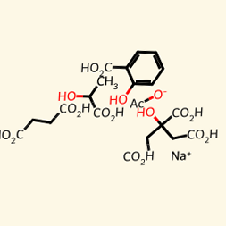 CC(=O)[O-].CC(O)C(=O)O.O=C(O)CC(O)(CC(=O)O)C(=O)O.O=C(O)CCC(=O)O.O=C(O)c1ccccc1O.[Na+]